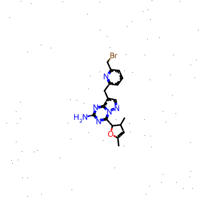 CC1=CC(C)C(c2nc(N)nc3c(Cc4cccc(CBr)n4)cnn23)O1